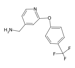 NCc1ccnc(Oc2ccc(C(F)(F)F)cc2)c1